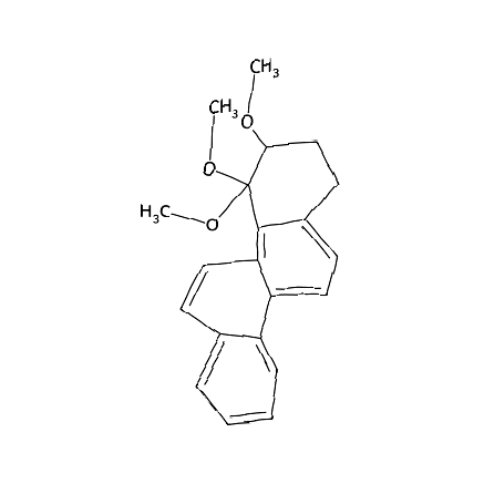 COC1CCc2ccc3c(ccc4ccccc43)c2C1(OC)OC